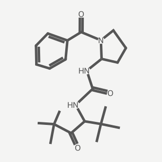 CC(C)(C)C(=O)C(NC(=O)NC1CCCN1C(=O)c1ccccc1)C(C)(C)C